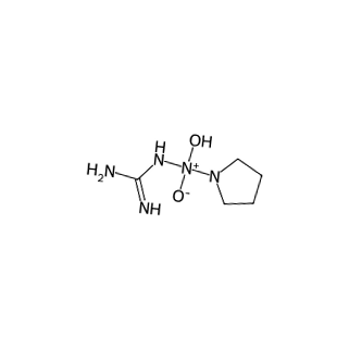 N=C(N)N[N+]([O-])(O)N1CCCC1